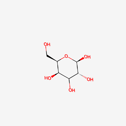 OC[C@H]1O[C@@H](O)[C@H](O)C(O)[C@H]1O